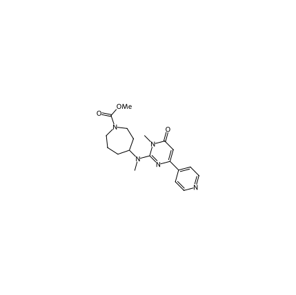 COC(=O)N1CCCC(N(C)c2nc(-c3ccncc3)cc(=O)n2C)CC1